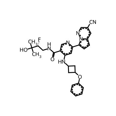 CC(C)(O)[C@H](F)CNC(=O)c1cnc(-c2ccc3cc(C#N)cnn23)cc1NC1CC(Oc2ccccc2)C1